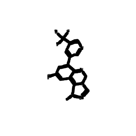 CN1N=CN2CN=c3c(-c4cncc(C(F)(F)F)c4)cc(F)cc3=C21